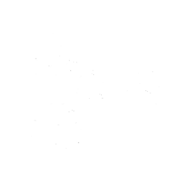 C=CS(=O)(=O)C1(CN(C)c2nc(OC[C@@H]3CCCN3C)nc3c2CCN(c2cccc4cccc(Cl)c24)C3)CC1